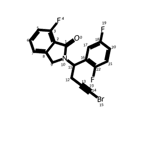 O=C1c2c(F)cccc2CN1C(CC#CBr)c1cc(F)ccc1F